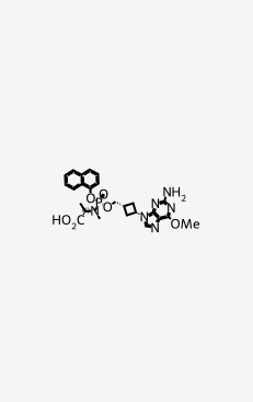 COc1nc(N)nc2c1ncn2[C@H]1C[C@@H](COP(=O)(Oc2cccc3ccccc23)N(C)[C@@H](C)C(=O)O)C1